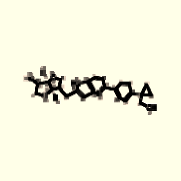 OCC1(c2ccc(-c3ccc4[nH]c(CC5CO[C@@H]6[C@H](O)CO[C@H]56)cc4n3)cc2)CC1